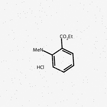 CCOC(=O)c1ccccc1NC.Cl